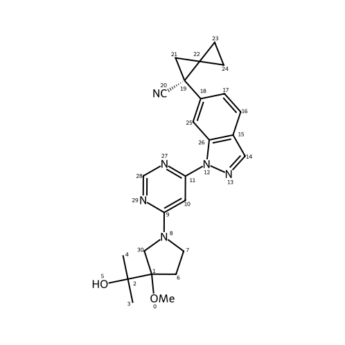 COC1(C(C)(C)O)CCN(c2cc(-n3ncc4ccc([C@@]5(C#N)CC56CC6)cc43)ncn2)C1